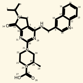 CC(C)N1Cc2c(NCc3cnc4ccccc4c3)nc(N3CCN(C(=O)O)[C@H](C)C3)nc2C1=O